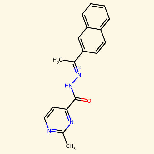 C/C(=N\NC(=O)c1ccnc(C)n1)c1ccc2ccccc2c1